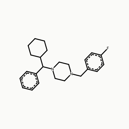 Fc1ccc(CN2CCN(C(c3ccccc3)C3CCCCC3)CC2)cc1